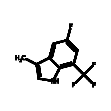 Cc1c[nH]c2c(C(F)(F)F)cc(F)cc12